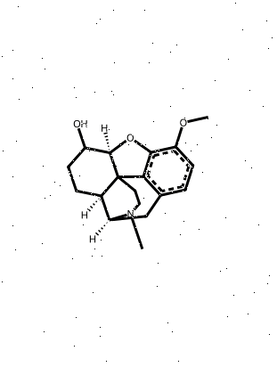 COc1ccc2c3c1O[C@@H]1C(O)CC[C@@H]4[C@H](C2)N(C)CCC314